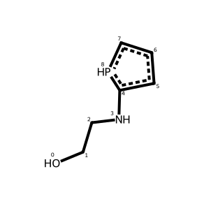 OCCNc1ccc[pH]1